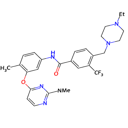 CCN1CCN(Cc2ccc(C(=O)Nc3ccc(C)c(Oc4ccnc(NC)n4)c3)cc2C(F)(F)F)CC1